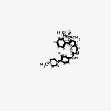 CN1CCN(c2ccc(Nc3ncc4ccc(-c5ccccc5N(C)S(C)(=O)=O)n4n3)cc2F)CC1